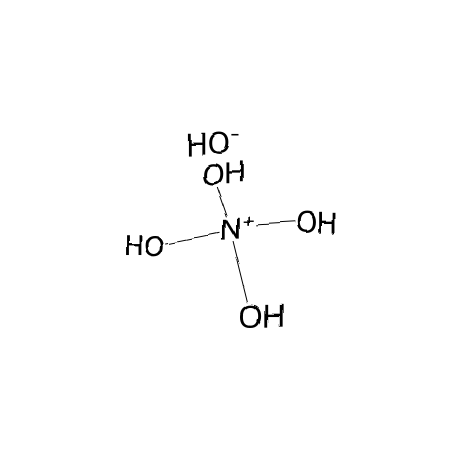 O[N+](O)(O)O.[OH-]